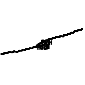 CCCCCCCCCCCCCCCCCCCOCCOCCOCCCCCCCCCCCCCCCCCCC.OCC(O)CO